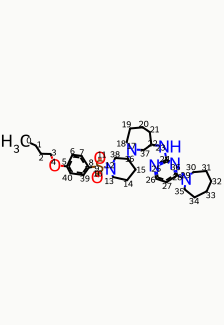 CCCCOc1ccc(S(=O)(=O)N2CCCC(N3CCCCC(Nc4nccc(N5CCCCCC5)n4)C3)C2)cc1